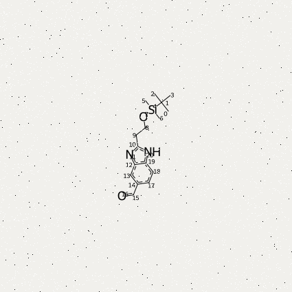 CC(C)(C)[Si](C)(C)OCCc1nc2cc(C=O)ccc2[nH]1